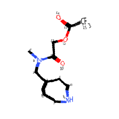 CN(CC1CCNCC1)C(=O)COC(=O)C(F)(F)F